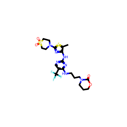 Cc1sc(N2CCS(=O)(=O)CC2)nc1Nc1ncc(C(F)(F)F)c(NCCCN2CCCOC2=O)n1